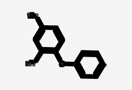 CCCc1cc(C(C)(C)C)ccc1Oc1cc[c]cc1